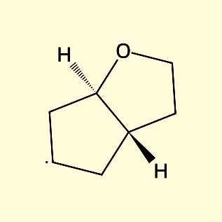 [CH]1C[C@H]2CCO[C@@H]2C1